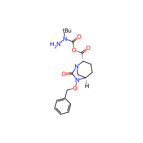 CC(C)(C)N(N)C(=O)OC(=O)[C@@H]1CC[C@@H]2CN1C(=O)N2OCc1ccccc1